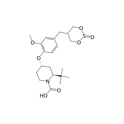 COc1cc(CC2COS(=O)OC2)ccc1O[C@H]1CCN(C(=O)O)[C@H](C(C)(C)C)C1